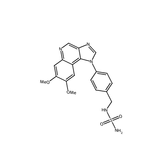 COc1cc2ncc3ncn(-c4ccc(CNS(N)(=O)=O)cc4)c3c2cc1OC